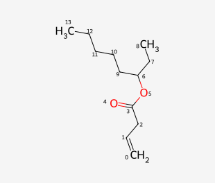 C=CCC(=O)OC(CC)CCCCC